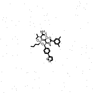 CCCCS(=O)(=O)N(C(=O)[C@H](Cc1ccc(-c2ccno2)cc1)N(C)C(=O)c1cc(C)cc(C)c1)[C@H](C(N)=O)C(C)C